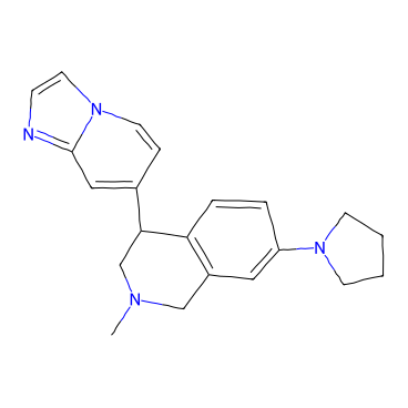 CN1Cc2cc(N3CCCC3)ccc2C(c2ccn3ccnc3c2)C1